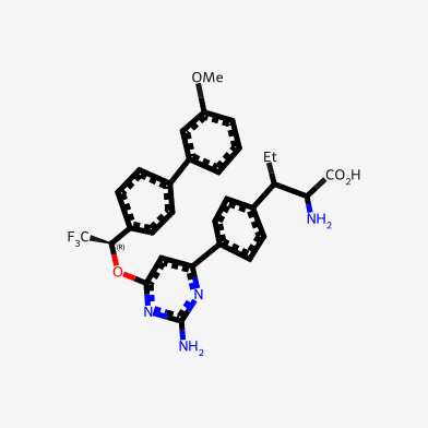 CCC(c1ccc(-c2cc(O[C@H](c3ccc(-c4cccc(OC)c4)cc3)C(F)(F)F)nc(N)n2)cc1)C(N)C(=O)O